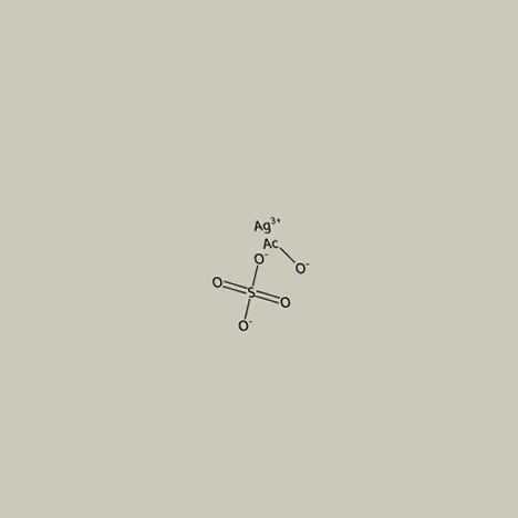 CC(=O)[O-].O=S(=O)([O-])[O-].[Ag+3]